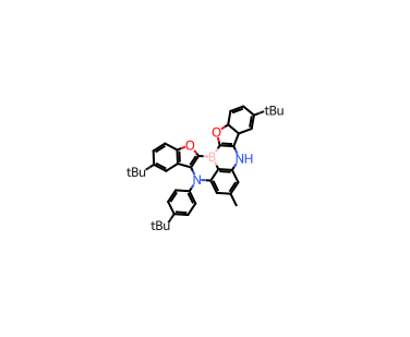 Cc1cc2c3c(c1)N(c1ccc(C(C)(C)C)cc1)c1c(oc4ccc(C(C)(C)C)cc14)B3C1=C(N2)C2C=C(C(C)(C)C)C=CC2O1